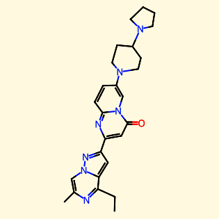 CCc1nc(C)cn2nc(-c3cc(=O)n4cc(N5CCC(N6CCCC6)CC5)ccc4n3)cc12